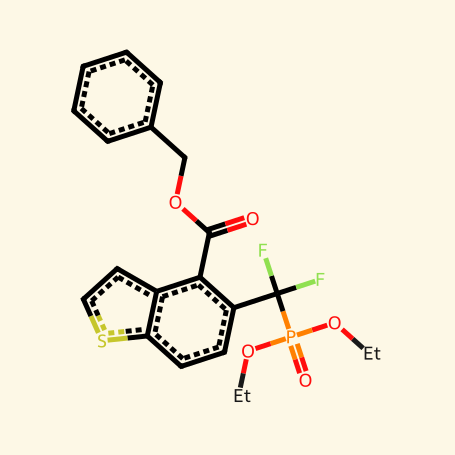 CCOP(=O)(OCC)C(F)(F)c1ccc2sccc2c1C(=O)OCc1ccccc1